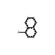 [Al][c]1cccc2ccccc12